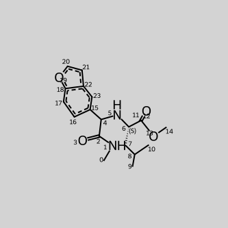 CNC(=O)C(N[C@@H](CC(C)C)C(=O)OC)c1ccc2occc2c1